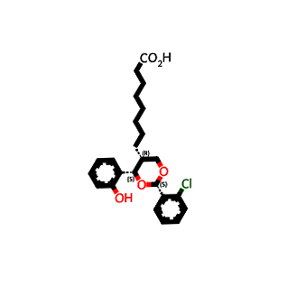 O=C(O)CCCCCCC[C@@H]1CO[C@H](c2ccccc2Cl)O[C@@H]1c1ccccc1O